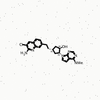 CNc1ncnc2c1ccn2[C@@H]1C[C@H](CCc2ccc3cc(Cl)c(N)nc3c2)C[C@H]1O